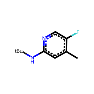 Cc1cc(NC(C)(C)C)ncc1F